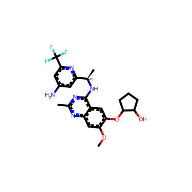 COc1cc2nc(C)nc(N[C@H](C)c3cc(N)cc(C(F)(F)F)n3)c2cc1OC1CCCC1O